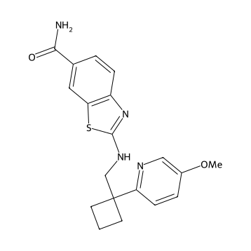 COc1ccc(C2(CNc3nc4ccc(C(N)=O)cc4s3)CCC2)nc1